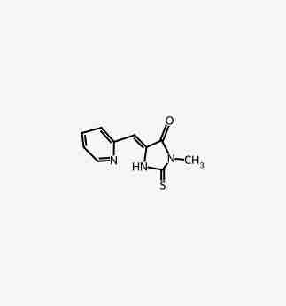 CN1C(=O)C(=Cc2ccccn2)NC1=S